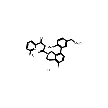 COc1ccc(CC(=O)O)cc1-c1ccc(F)c2c1CN(C(=O)CC(C)c1cccc(C)n1)CC2.Cl